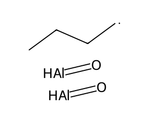 [CH2]CCC.[O]=[AlH].[O]=[AlH]